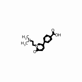 CN(C)CCn1cc(-c2ccc(C(=O)O)cc2)ccc1=O